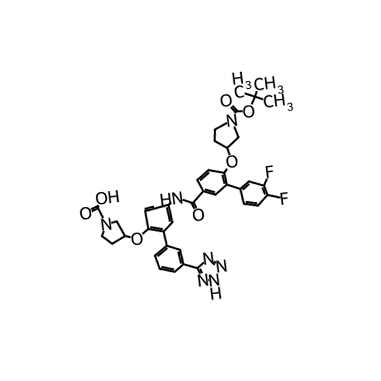 CC(C)(C)OC(=O)N1CCC(Oc2ccc(C(=O)Nc3ccc(OC4CCN(C(=O)O)C4)c(-c4cccc(-c5nn[nH]n5)c4)c3)cc2-c2ccc(F)c(F)c2)C1